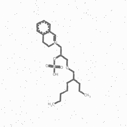 CCCCCC(CCC)COCC(C[N+]1=Cc2ccccc2CC1)OS(=O)(=O)O